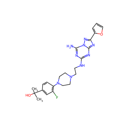 CC(C)(O)c1ccc(N2CCN(CCNc3nc(N)n4nc(-c5ccco5)nc4n3)CC2)c(F)c1